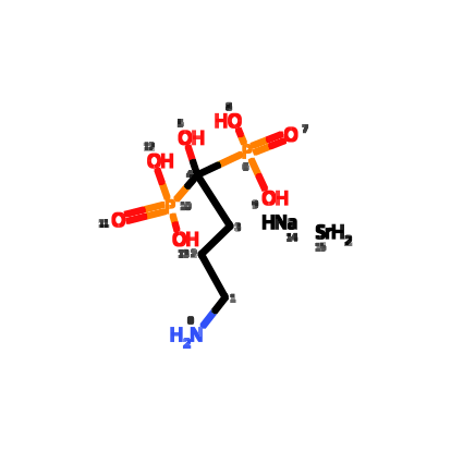 NCCCC(O)(P(=O)(O)O)P(=O)(O)O.[NaH].[SrH2]